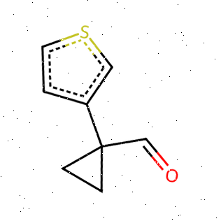 O=CC1(c2ccsc2)CC1